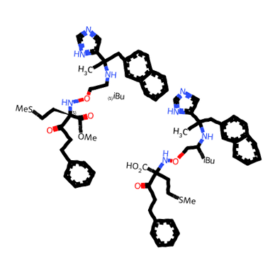 CCC(C)C(CONC(CCSC)(C(=O)O)C(=O)CCc1ccccc1)NC(C)(Cc1ccc2ccccc2c1)c1cnc[nH]1.CC[C@H](C)C(CON[C@@](CCSC)(C(=O)CCc1ccccc1)C(=O)OC)NC(C)(Cc1ccc2ccccc2c1)c1cnc[nH]1